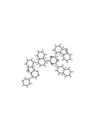 c1ccc(-c2cccc3c2oc2cccc(-c4ccc(-c5nc(-c6ccc7ccccc7c6)nc(-c6cccc7oc8ccccc8c67)n5)c5ccccc45)c23)cc1